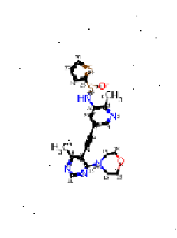 Cc1ncc(C#Cc2c(C)ncnc2N2CCOCC2)cc1N[S+]([O-])c1cccs1